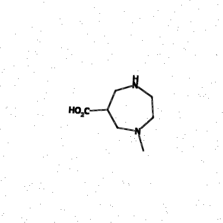 CN1CCNCC(C(=O)O)C1